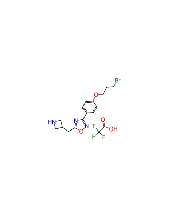 BrCCCOc1ccc(-c2noc(CC3CNC3)n2)cc1.O=C(O)C(F)(F)F